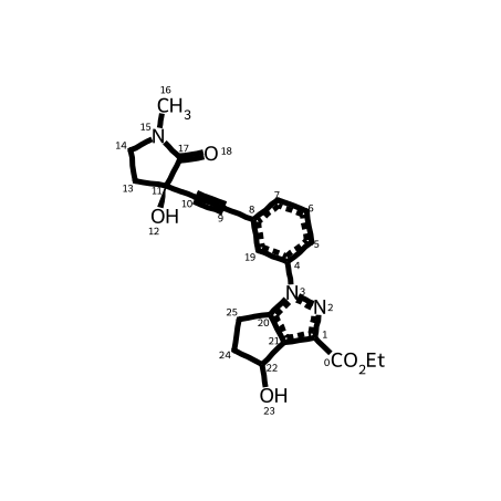 CCOC(=O)c1nn(-c2cccc(C#C[C@]3(O)CCN(C)C3=O)c2)c2c1C(O)CC2